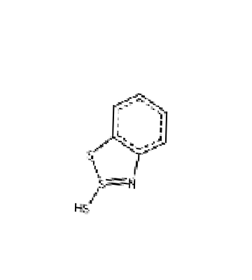 SS1=Nc2ccccc2S1